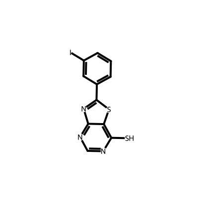 Sc1ncnc2nc(-c3cccc(I)c3)sc12